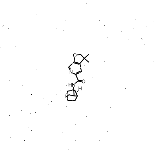 CC1(C)COc2cnc(C(=O)N[C@@H]3CN4CCC3CC4)cc21